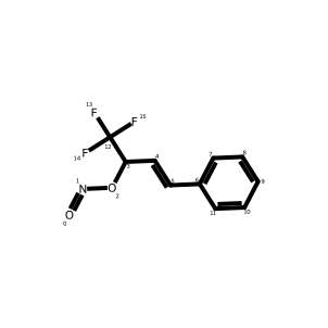 O=NOC(C=Cc1ccccc1)C(F)(F)F